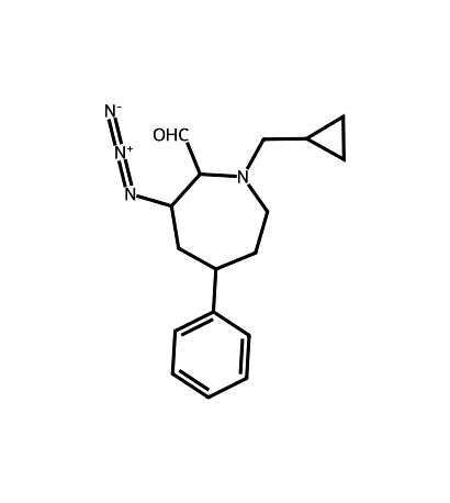 [N-]=[N+]=NC1CC(c2ccccc2)CCN(CC2CC2)C1C=O